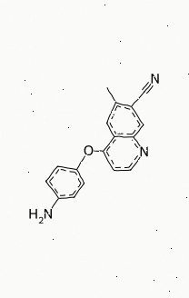 Cc1cc2c(Oc3ccc(N)cc3)ccnc2cc1C#N